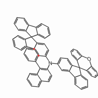 c1ccc(-c2c(N(c3ccc4c(c3)-c3ccccc3C43c4ccccc4Oc4ccccc43)c3ccc4c(c3)-c3ccccc3C43c4ccccc4-c4ccccc43)ccc3ccccc23)cc1